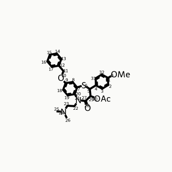 COc1ccc(C2Sc3cc(OCc4ccccc4)ccc3N(CCN(C)C)C(=O)C2OC(C)=O)cc1